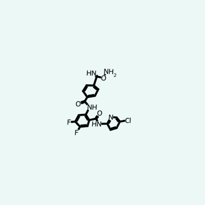 N=C(ON)c1ccc(C(=O)Nc2cc(F)c(F)cc2C(=O)Nc2ccc(Cl)cn2)cc1